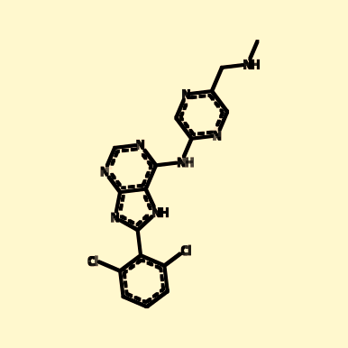 CNCc1cnc(Nc2ncnc3nc(-c4c(Cl)cccc4Cl)[nH]c23)cn1